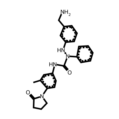 Cc1cc(NC(=O)N(Nc2cccc(CN)c2)c2ccccc2)ccc1N1CCCC1=O